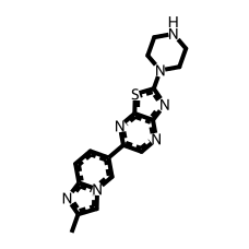 Cc1cn2cc(-c3cnc4nc(N5CCNCC5)sc4n3)ccc2n1